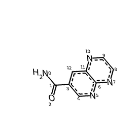 NC(=O)c1cnc2nccnc2c1